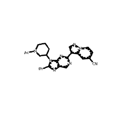 CC(=O)N1CCCC(n2c(C(C)C)nc3cnc(-c4cnn5ccc(C#N)cc45)nc32)C1